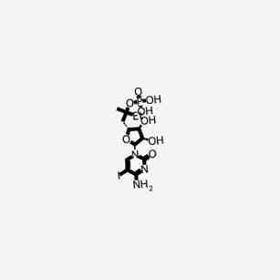 CCC(C)(C[C@H]1O[C@@H](n2cc(I)c(N)nc2=O)[C@H](O)[C@@H]1O)OP(=O)(O)O